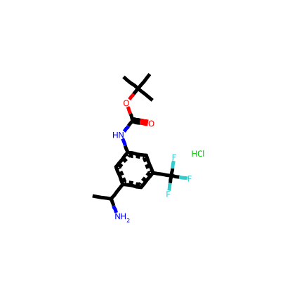 CC(N)c1cc(NC(=O)OC(C)(C)C)cc(C(F)(F)F)c1.Cl